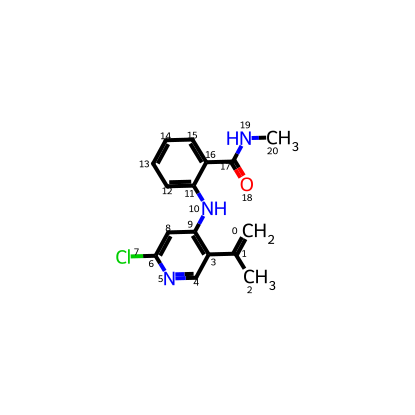 C=C(C)c1cnc(Cl)cc1Nc1ccccc1C(=O)NC